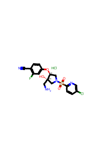 Cl.N#Cc1ccc(O[C@H]2CN(S(=O)(=O)c3ccc(Cl)cn3)C[C@@]2(O)CN)cc1F